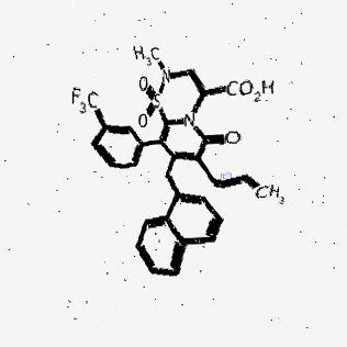 C/C=C/c1c(Cc2cccc3ccccc23)c(-c2cccc(C(F)(F)F)c2)c2n(c1=O)C(C(=O)O)CN(C)S2(=O)=O